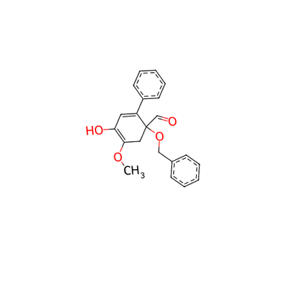 COC1=C(O)C=C(c2ccccc2)C(C=O)(OCc2ccccc2)C1